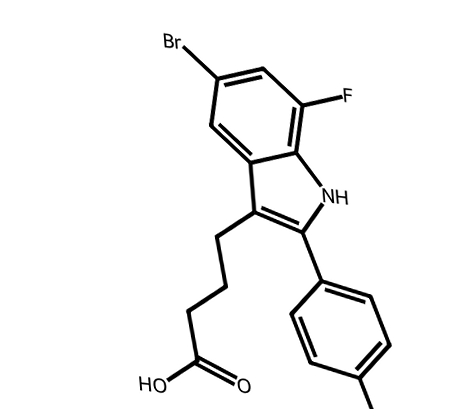 O=C(O)CCCc1c(-c2ccc(F)cc2)[nH]c2c(F)cc(Br)cc12